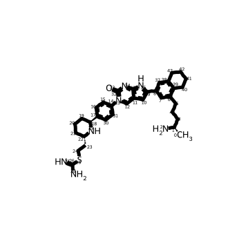 C[C@H](N)CCCc1cc(-c2cc3cn(-c4ccc([C@@H]5CCC[C@@H](CCSC(=N)N)N5)cc4)c(=O)nc3[nH]2)cc2c1CCCC2